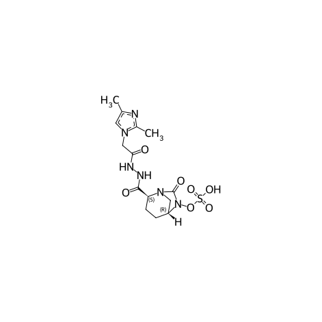 Cc1cn(CC(=O)NNC(=O)[C@@H]2CC[C@@H]3CN2C(=O)N3OS(=O)(=O)O)c(C)n1